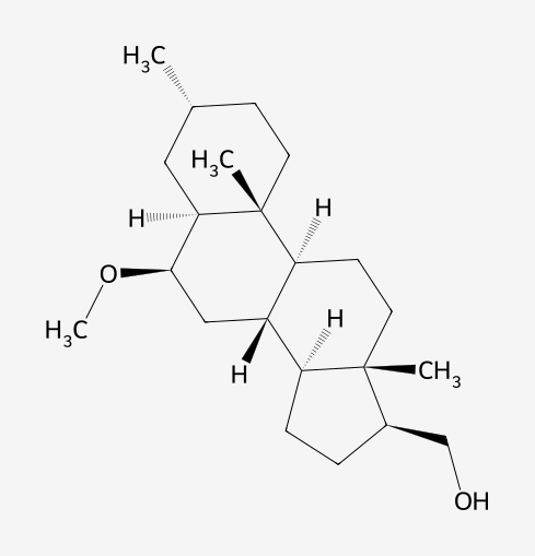 CO[C@@H]1C[C@@H]2[C@H](CC[C@]3(C)[C@@H](CO)CC[C@@H]23)[C@@]2(C)CC[C@@H](C)C[C@H]12